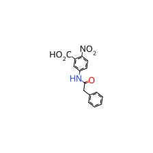 O=C(Cc1ccccc1)Nc1ccc([N+](=O)[O-])c(C(=O)O)c1